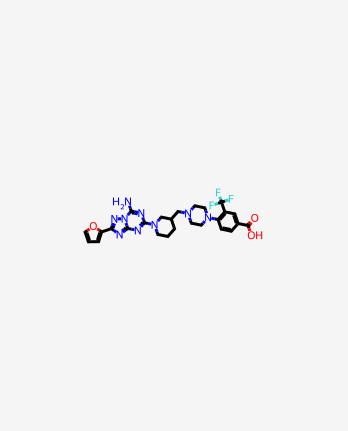 Nc1nc(N2CCCC(CN3CCN(c4ccc(C(=O)O)cc4C(F)(F)F)CC3)C2)nc2nc(-c3ccco3)nn12